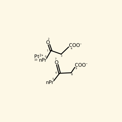 CCCC(=O)CC(=O)[O-].CCCC(=O)CC(=O)[O-].[Pt+2]